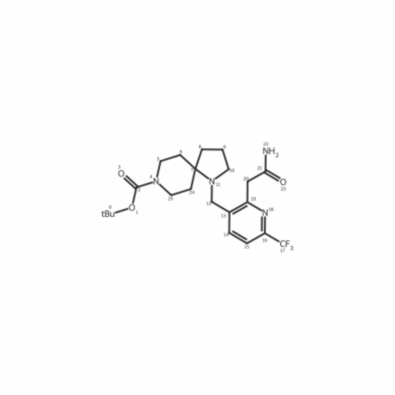 CC(C)(C)OC(=O)N1CCC2(CCCN2Cc2ccc(C(F)(F)F)nc2CC(N)=O)CC1